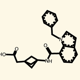 O=C(O)CC12CC(NC(=O)c3cccc4ccn(Cc5ccccc5)c34)(C1)C2